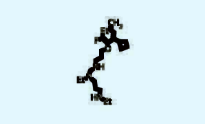 C=C/C=C(\C(OCCCNCN(CC)CCCNCC)=C(\F)CC)C1CCC1